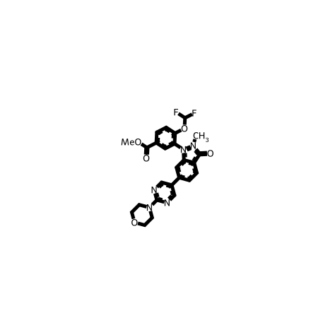 COC(=O)c1ccc(OC(F)F)c(-n2c3cc(-c4cnc(N5CCOCC5)nc4)ccc3c(=O)n2C)c1